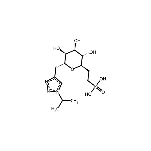 CC(C)n1cc(C[C@H]2O[C@H](CCP(=O)(O)O)[C@@H](O)[C@H](O)[C@@H]2O)nn1